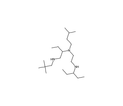 CCC(CC)N[CH]CN(CCC(C)C)C(CC)CNCC(C)(C)C